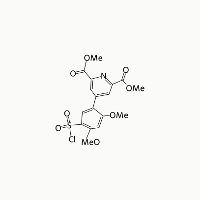 COC(=O)c1cc(-c2cc(S(=O)(=O)Cl)c(OC)cc2OC)cc(C(=O)OC)n1